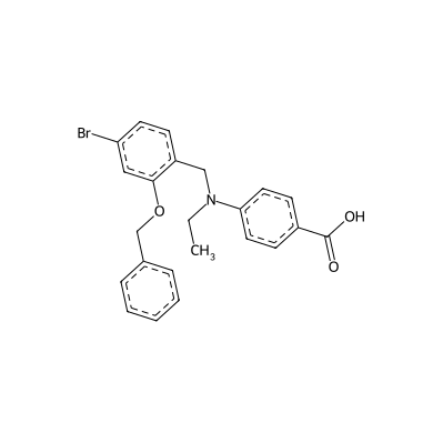 CCN(Cc1ccc(Br)cc1OCc1ccccc1)c1ccc(C(=O)O)cc1